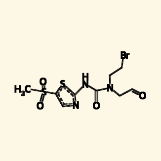 CS(=O)(=O)c1cnc(NC(=O)N(CC=O)CCBr)s1